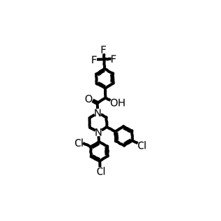 O=C(C(O)c1ccc(C(F)(F)F)cc1)N1CCN(c2ccc(Cl)cc2Cl)C(c2ccc(Cl)cc2)C1